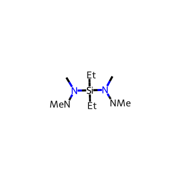 CC[Si](CC)(N(C)NC)N(C)NC